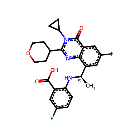 C[C@@H](Nc1ccc(F)cc1C(=O)O)c1cc(F)cc2c(=O)n(C3CC3)c(C3CCOCC3)nc12